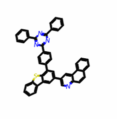 c1ccc(-c2nc(-c3ccccc3)nc(-c3ccc(-c4cc(-c5cnc6ccc7ccccc7c6c5)cc5c4sc4ccccc45)cc3)n2)cc1